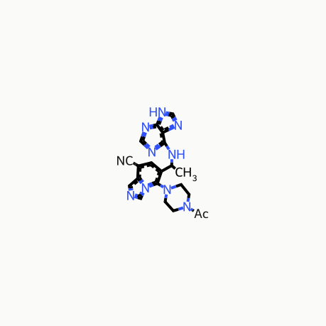 CC(=O)N1CCN(c2c(C(C)Nc3ncnc4[nH]cnc34)cc(C#N)c3cncn23)CC1